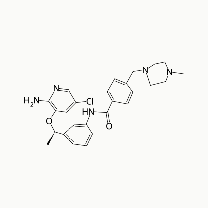 C[C@@H](Oc1cc(Cl)cnc1N)c1cccc(NC(=O)c2ccc(CN3CCN(C)CC3)cc2)c1